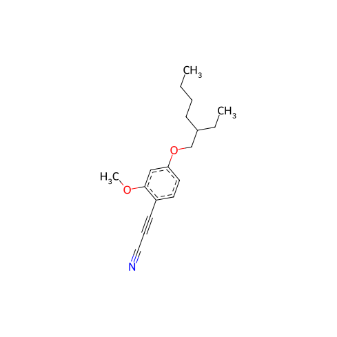 CCCCC(CC)COc1ccc(C#CC#N)c(OC)c1